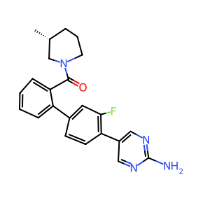 C[C@@H]1CCCN(C(=O)c2ccccc2-c2ccc(-c3cnc(N)nc3)c(F)c2)C1